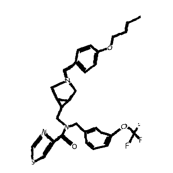 CCCCOc1ccc(CN2CC3C(C2)C3CN(Cc2cccc(OC(F)(F)F)c2)C(=O)c2cscn2)cc1